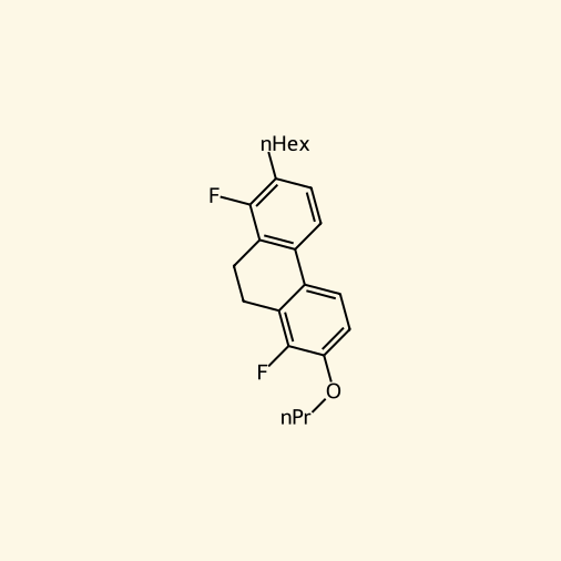 CCCCCCc1ccc2c(c1F)CCc1c-2ccc(OCCC)c1F